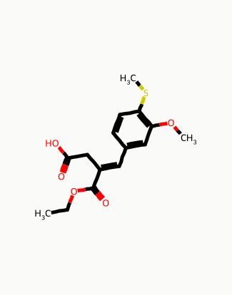 CCOC(=O)/C(=C/c1ccc(SC)c(OC)c1)CC(=O)O